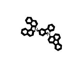 c1ccc2c(c1)-c1cccc3c(-n4c5ccccc5c5cc(-n6c7ccc8ccccc8c7c7c8ccccc8ccc76)ccc54)ccc-2c13